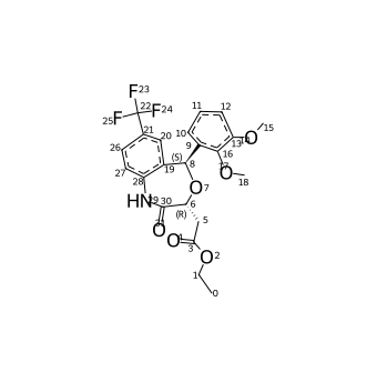 CCOC(=O)C[C@H]1O[C@H](c2cccc(OC)c2OC)c2cc(C(F)(F)F)ccc2NC1=O